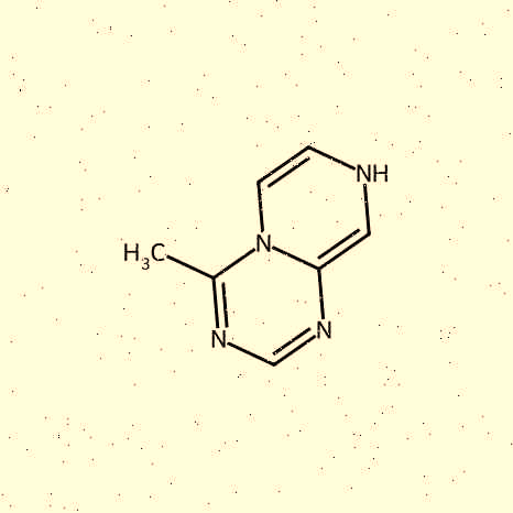 CC1=NC=NC2=CNC=CN21